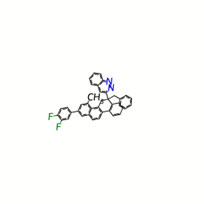 Cc1cc(-c2ccc(F)c(F)c2)cc2ccc3c(c12)CC(Cc1ccccc1)(c1cc2ccccc2nn1)C1=C3C=CCC1